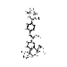 CC(=Cc1ccc(C(C)OP(=O)(O)O)cc1)c1ccc2c(c1)C(C)(C)CCC2(C)C